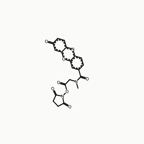 CN(CC(=O)ON1C(=O)CCC1=O)C(=O)c1ccc2nc3ccc(=O)cc-3oc2c1